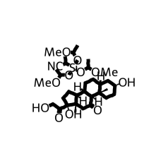 COC(C)O[Si](OC(C)OC)(OC(C)OC)C(C)C#N.C[C@]12CC[C@@H](O)C[C@H]1CC[C@@H]1[C@@H]2C(=O)C[C@@]2(C)[C@H]1CC[C@]2(O)C(=O)CO